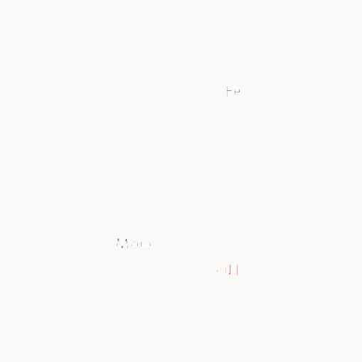 COc1cc([CH2][Fe])ccc1O